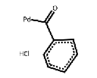 Cl.O=[C]([Pd])c1ccccc1